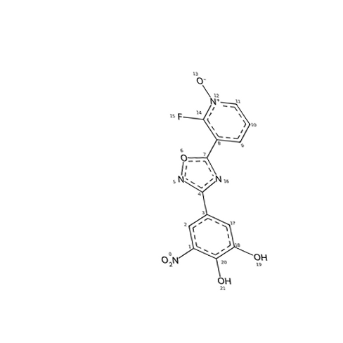 O=[N+]([O-])c1cc(-c2noc(-c3ccc[n+]([O-])c3F)n2)cc(O)c1O